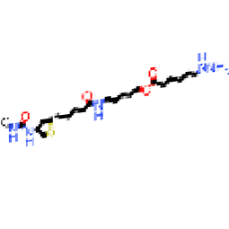 CNC(=O)N[C@H]1CS[C@H](CCCCC(=O)NCCCCCOC(=O)CCCCCNN)C1